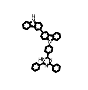 c1ccc(C2=NC(c3ccc(-n4c5ccccc5c5cc(-c6ccc7[nH]c8ccccc8c7c6)ccc54)cc3)NC(c3ccccc3)=N2)cc1